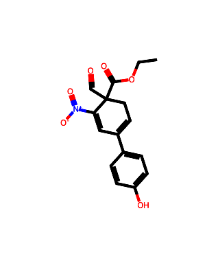 CCOC(=O)C1(C=O)CC=C(c2ccc(O)cc2)C=C1[N+](=O)[O-]